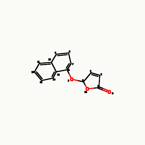 O=C1C=CC(Oc2cccc3ccccc23)O1